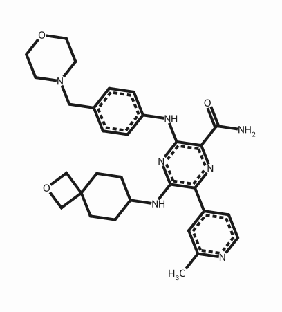 Cc1cc(-c2nc(C(N)=O)c(Nc3ccc(CN4CCOCC4)cc3)nc2NC2CCC3(CC2)COC3)ccn1